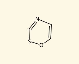 [C]1=NC=COS1